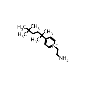 CC(C)(C)CCC(C)(C)c1cc[n+](CCN)cc1